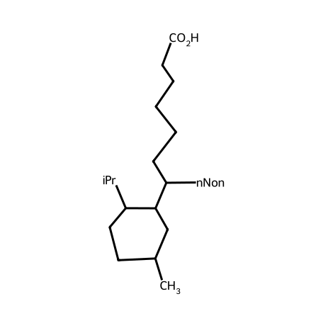 CCCCCCCCCC(CCCCCC(=O)O)C1CC(C)CCC1C(C)C